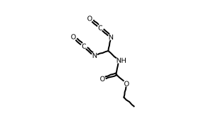 CCOC(=O)NC(N=C=O)N=C=O